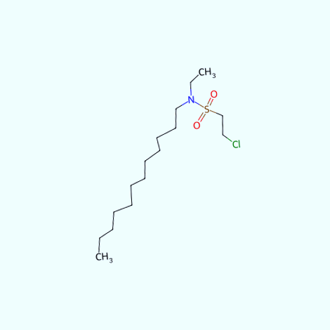 CCCCCCCCCCCCN(CC)S(=O)(=O)CCCl